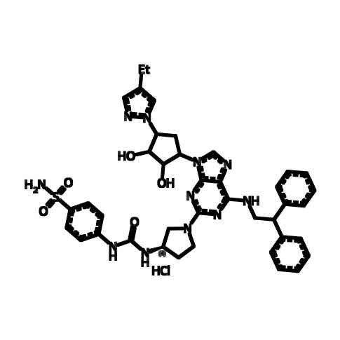 CCc1cnn(C2CC(n3cnc4c(NCC(c5ccccc5)c5ccccc5)nc(N5CC[C@@H](NC(=O)Nc6ccc(S(N)(=O)=O)cc6)C5)nc43)C(O)C2O)c1.Cl